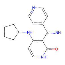 N=C(c1ccncc1)c1c(NC2CCCC2)cc[nH]c1=O